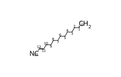 C=CCCCCCCCCCC=CC#N